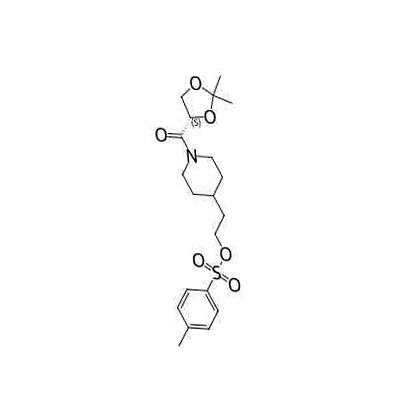 Cc1ccc(S(=O)(=O)OCCC2CCN(C(=O)[C@@H]3COC(C)(C)O3)CC2)cc1